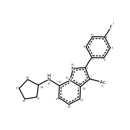 CC(=O)c1c(-c2ccc(F)cc2)nn2c(NC3CCCC3)cccc12